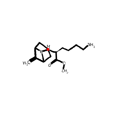 C=C1C2CCCC1B2N[C@@H](CCCCN)C(=O)OC